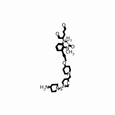 CN(C=O)c1c(C#CCOC2CCN(CC3CCN(SN4CCC(N)CC4)CC3)CC2)cccc1N(C)C(C=O)CCC=O